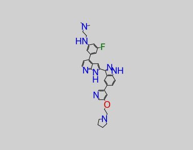 CN(C)CCNc1cc(F)cc(-c2ccnc3[nH]c(-c4n[nH]c5ccc(-c6cncc(OCCN7CCCC7)c6)cc45)cc23)c1